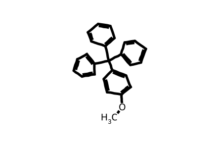 COc1ccc(C(c2ccccc2)(c2ccccc2)c2ccccc2)cc1